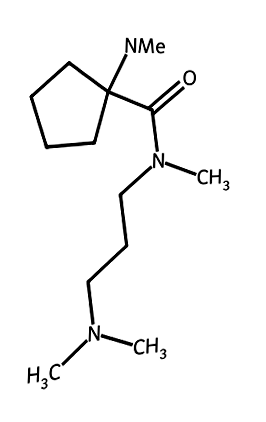 CNC1(C(=O)N(C)CCCN(C)C)CCCC1